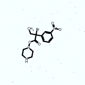 CCC(Br)(C(=O)ON1CCNCC1)c1cccc([N+](=O)[O-])c1